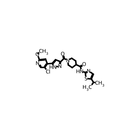 COc1cc(-c2cc(C(=O)N3CCC(C(=O)Nc4ncc(C(C)C)s4)CC3)n[nH]2)c(Cl)cn1